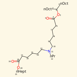 CCCCCCCCC(CCCCCCCC)OC(=O)CCCCCN(CCC)CCCCCC(=O)OCCCCCCC